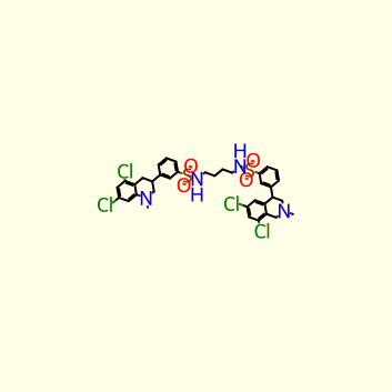 CN1Cc2c(Cl)cc(Cl)cc2C(c2cccc(S(=O)(=O)NCCCCNS(=O)(=O)c3cccc(C4Cc5c(Cl)cc(Cl)cc5N(C)C4)c3)c2)C1